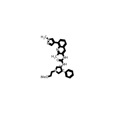 COCCN1C[C@@H](NC(=O)Nc2cc3cccc(-c4cnn(C)c4)c3nc2C)[C@H](c2ccccc2)C1